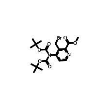 COC(=O)c1nccc(N(C(=O)OC(C)(C)C)C(=O)OC(C)(C)C)c1CBr